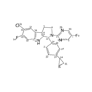 Fc1cnc(N2CCc3c([nH]c4cc(F)c(Cl)cc34)C2c2ccc(C3CC3)cc2)nc1